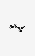 c1ccc(-c2ccc(-n3c4ccc(-c5ccc6c(c5)c5ccccc5n6-c5ccc6c(c5)-c5cccc7cccc-6c57)cc4c4ccc5ccccc5c43)cc2)cc1